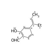 CC=C(CC)c1ccc(C=O)c(O)c1